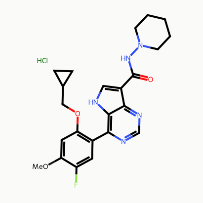 COc1cc(OCC2CC2)c(-c2ncnc3c(C(=O)NN4CCCCC4)c[nH]c23)cc1F.Cl